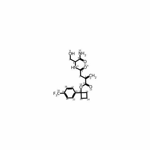 C=C(CC(=O)NC(CO)C(N)=O)C(=O)OC1(c2ccc(C(F)(F)F)cc2)CCC1